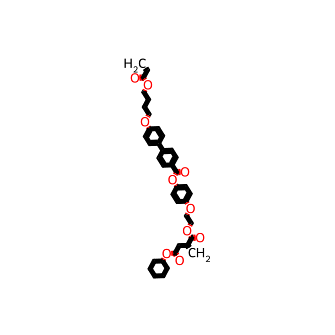 C=CC(=O)OCCCCOc1ccc(-c2ccc(C(=O)Oc3ccc(OCCOC(=O)C(=C)CC(=O)OC4CCCCC4)cc3)cc2)cc1